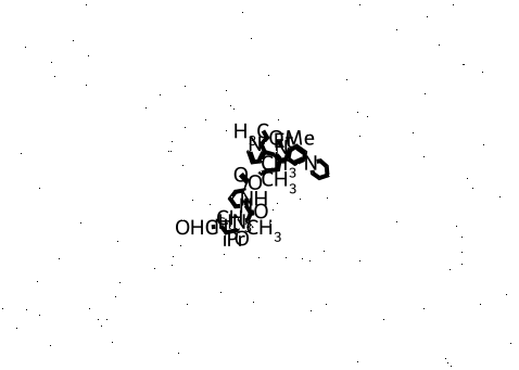 CCn1c(-c2cccnc2[C@H](C)OC)c(CC(C)(C)COC(=O)[C@@H]2CCCN(C(=O)[C@H](C)NC(=O)[C@H](C(C)C)N(C)C=O)N2)c2cc(N3CCCCC3)ccc21